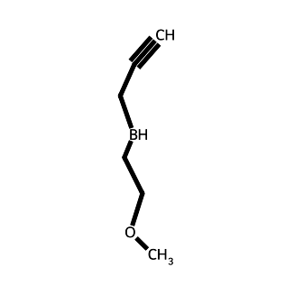 C#CCBCCOC